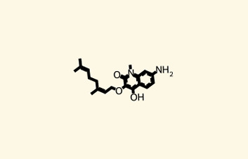 CC(C)=CCCC(C)=CCOc1c(O)c2ccc(N)cc2n(C)c1=O